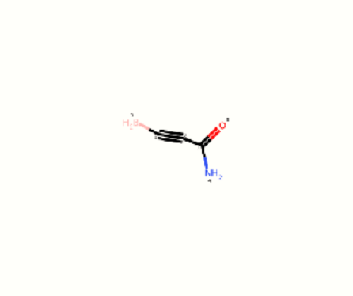 BC#CC(N)=O